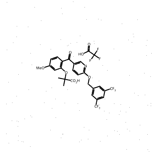 COc1ccc(C(=O)c2ccc(OCc3cc(C(F)(F)F)cc(C(F)(F)F)c3)nc2)c(OC(C)(C)C(=O)O)c1.O=C(O)C(F)(F)F